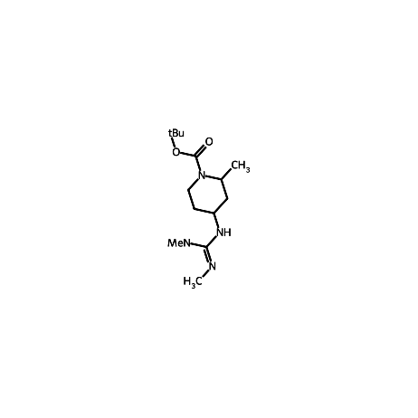 C/N=C(\NC)NC1CCN(C(=O)OC(C)(C)C)C(C)C1